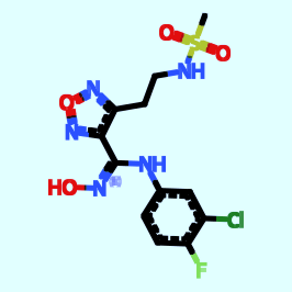 CS(=O)(=O)NCCc1nonc1/C(=N\O)Nc1ccc(F)c(Cl)c1